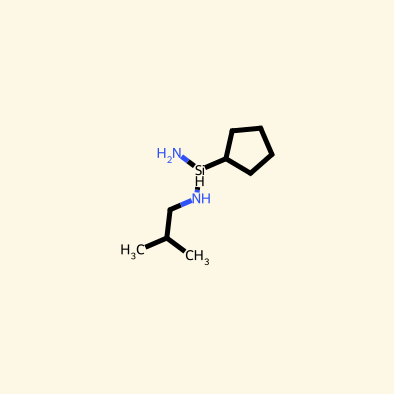 CC(C)CN[SiH](N)C1CCCC1